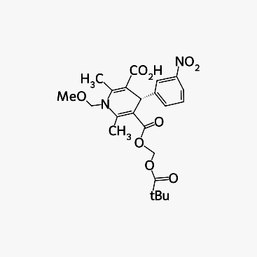 COCN1C(C)=C(C(=O)O)[C@H](c2cccc([N+](=O)[O-])c2)C(C(=O)OCOC(=O)C(C)(C)C)=C1C